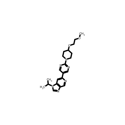 COCCOC1CCN(c2n[c]c(-c3cc4c(cn3)ncn4C(C)C)cn2)CC1